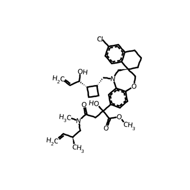 C=CC(O)[C@H]1CC[C@H]1CN1C[C@@]2(CCCc3cc(Cl)ccc32)COc2ccc(C(O)(CC(=O)N(C)C[C@@H](C)C=C)C(=O)OC)cc21